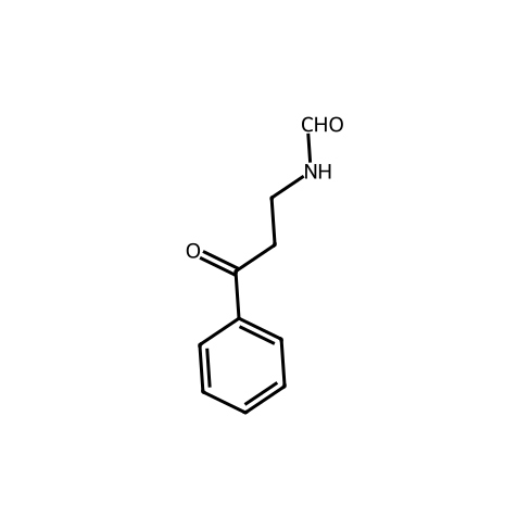 O=CNCCC(=O)c1ccccc1